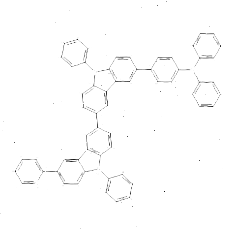 c1ccc(N(c2ccccc2)c2ccc(-c3ccc4c(c3)c3cc(-c5ccc6c(c5)c5cc(-c7ccccn7)ccc5n6-c5ccccc5)ccc3n4-c3ccccc3)cc2)cc1